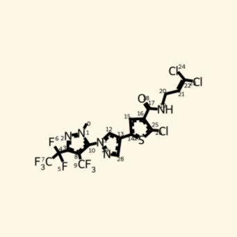 Cn1nc(C(F)(F)C(F)(F)F)c(C(F)(F)F)c1-n1cc(-c2cc(C(=O)NCC=C(Cl)Cl)c(Cl)s2)cn1